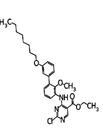 CCCCCCCCOc1cccc(-c2cccc(Nc3nc(Cl)ncc3C(=O)OCC)c2OC)c1